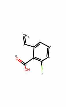 C=Cc1cccc(F)c1C(=O)O